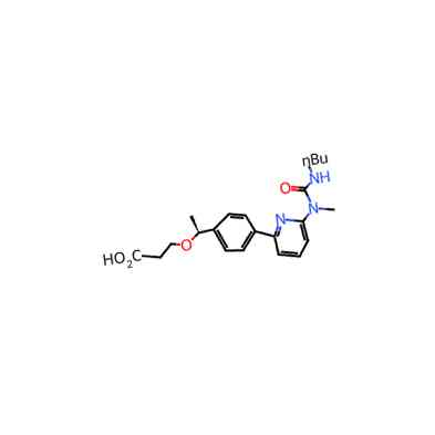 CCCCNC(=O)N(C)c1cccc(-c2ccc([C@H](C)OCCC(=O)O)cc2)n1